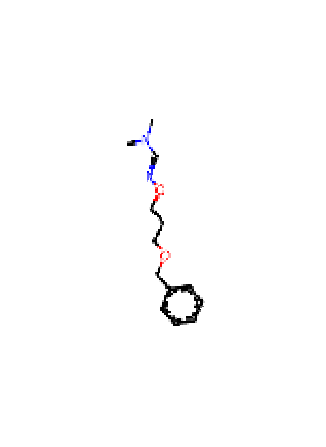 CN(C)C=NOCCCOCc1ccccc1